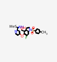 CSC(=N)c1cc(Oc2c(F)cc3c(ccn3S(=O)(=O)c3ccc(C)cc3)c2CO)ccn1